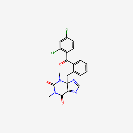 CN1C(=O)C2=NC=NC2(Cc2ccccc2C(=O)c2ccc(Cl)cc2Cl)N(C)C1=O